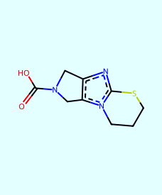 O=C(O)N1Cc2nc3n(c2C1)CCCS3